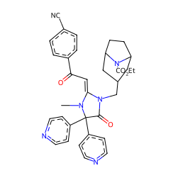 CCOC(=O)N1C2CCC1CC(CN1C(=O)C(c3ccncc3)(c3ccncc3)N(C)C1=CC(=O)c1ccc(C#N)cc1)C2